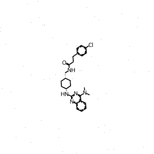 CN(C)c1nc(N[C@H]2CC[C@@H](CNC(=O)CCc3ccc(Cl)cc3)CC2)nc2ccccc12